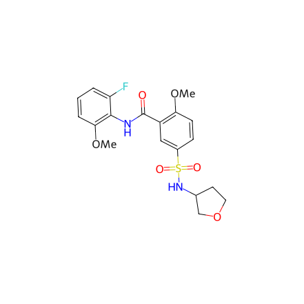 COc1ccc(S(=O)(=O)NC2CCOC2)cc1C(=O)Nc1c(F)cccc1OC